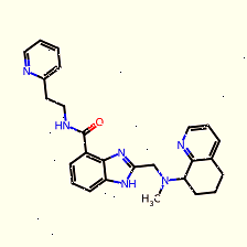 CN(Cc1nc2c(C(=O)NCCc3ccccn3)cccc2[nH]1)C1CCCc2cccnc21